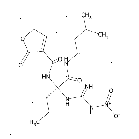 CCC[C@](NC(=N)N[N+](=O)[O-])(NC(=O)C1=CCOC1=O)C(=O)N[CH]CC(C)C